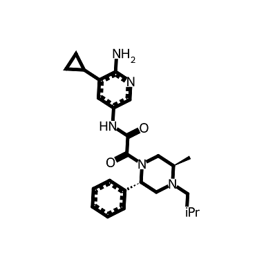 CC(C)CN1C[C@H](c2ccccc2)N(C(=O)C(=O)Nc2cnc(N)c(C3CC3)c2)C[C@H]1C